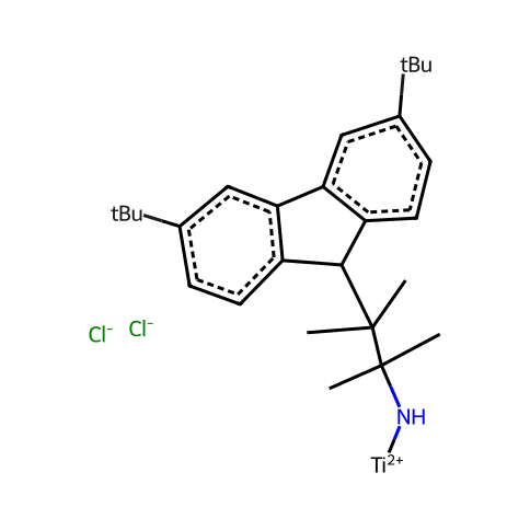 CC(C)(C)c1ccc2c(c1)-c1cc(C(C)(C)C)ccc1C2C(C)(C)C(C)(C)[NH][Ti+2].[Cl-].[Cl-]